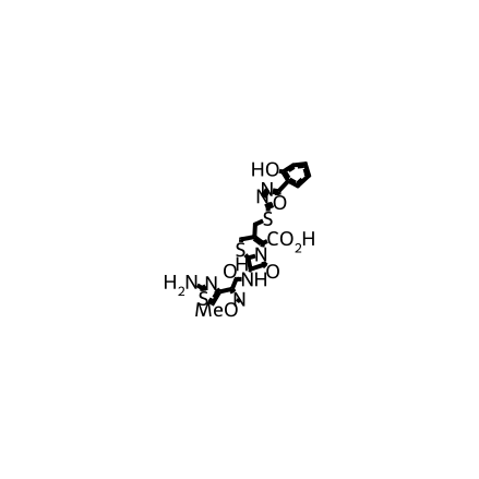 CON=C(C(=O)N[C@@H]1C(=O)N2C(C(=O)O)=C(CSc3nnc(-c4ccccc4O)o3)CS[C@@H]12)c1csc(N)n1